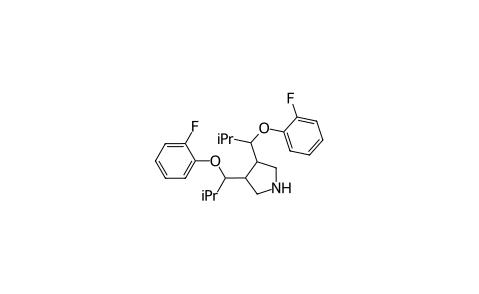 CC(C)C(Oc1ccccc1F)C1CNCC1C(Oc1ccccc1F)C(C)C